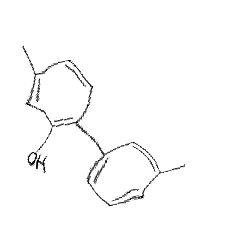 Cc1cccc(-c2ccc(C)cc2O)c1